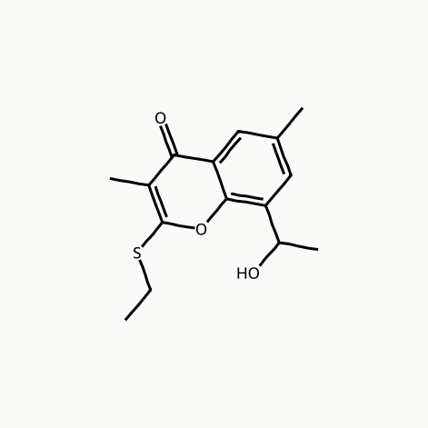 CCSc1oc2c(C(C)O)cc(C)cc2c(=O)c1C